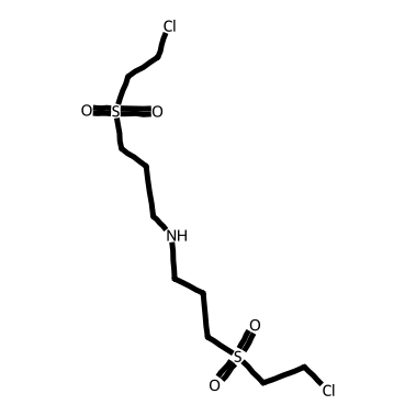 O=S(=O)(CCCl)CCCNCCCS(=O)(=O)CCCl